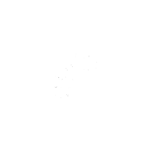 CCN1CCC[C@@H]([C@@H](O)c2cc(C)c(-c3ccc(C)cc3O)nn2)C1